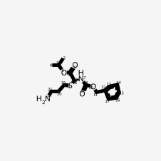 CC(C)OC(=O)[C@@H](NC(=O)OCc1ccccc1)SCCCN